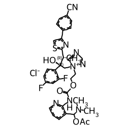 CC(=O)OC(c1cccnc1NC(=O)OCC[N+]1(C[C@](O)(c2ccc(F)cc2F)[C@@H](C)c2nc(-c3ccc(C#N)cc3)cs2)C=NC=N1)N(C)C.[Cl-]